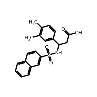 Cc1ccc(C(CC(=O)O)NS(=O)(=O)c2ccc3ccccc3c2)cc1C